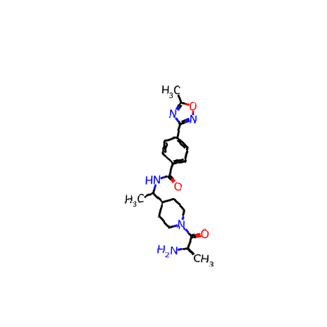 Cc1nc(-c2ccc(C(=O)NC(C)C3CCN(C(=O)C(C)N)CC3)cc2)no1